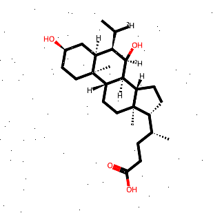 [2H]C(C)[C@@H]1[C@@H]2C[C@H](O)CC[C@]2(C)[C@H]2CC[C@]3(C)[C@@H]([C@H](C)CCC(=O)O)CC[C@H]3[C@@H]2[C@]1([2H])O